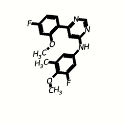 COc1cc(F)ccc1-c1cc(Nc2cc(C)c(OC)c(F)c2)ncn1